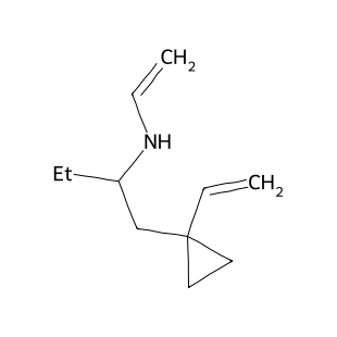 C=CNC(CC)CC1(C=C)CC1